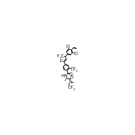 C=Cc1c(Cl)cc(C(/C=C(\F)c2ccc(C(=O)N[C@H](C)C(=O)N(C)CC(F)(F)F)c(C(F)(F)F)c2)C(F)(F)F)cc1Cl